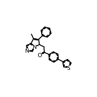 CC1=C(c2ccccc2)C(CC(=O)c2ccc(-c3ccsc3)cc2)n2cncc21